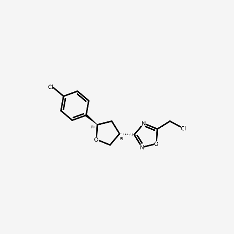 ClCc1nc([C@@H]2CO[C@@H](c3ccc(Cl)cc3)C2)no1